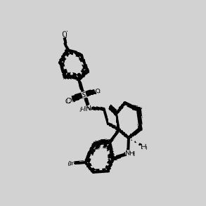 C=C1CCC[C@H]2Nc3ccc(Br)cc3C12CCNS(=O)(=O)c1ccc(Cl)cc1